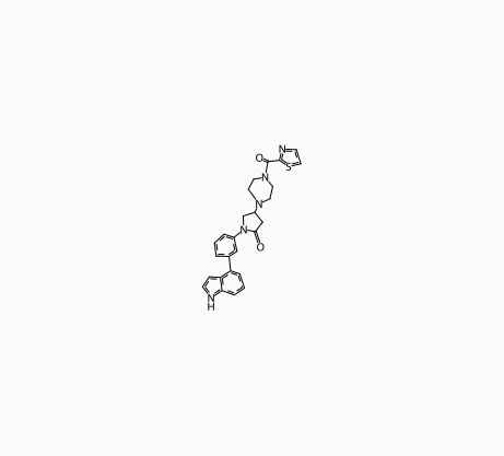 O=C(c1nccs1)N1CCN(C2CC(=O)N(c3cccc(-c4cccc5[nH]ccc45)c3)C2)CC1